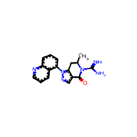 CC1Cc2c(cnn2-c2cccc3ncccc23)C(=O)N1C(=N)N